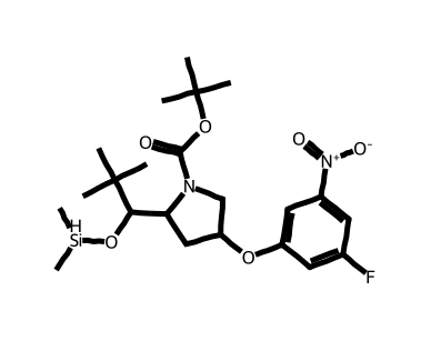 C[SiH](C)OC(C1CC(Oc2cc(F)cc([N+](=O)[O-])c2)CN1C(=O)OC(C)(C)C)C(C)(C)C